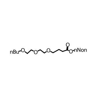 CCCCCCCCCOC(=O)CCCOCCOCCOCCCC